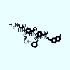 Cc1ccc2ccc(CCNC(=O)c3ccc(NC(=O)c4ccc(NC(=O)CCN)c(OCCO)c4)c(OCC4CCCCC4)c3)cc2c1